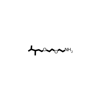 CC(C)C(C)CCOCCOCCN